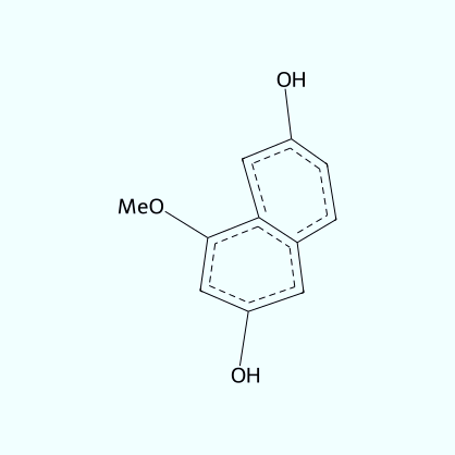 COc1cc(O)cc2ccc(O)cc12